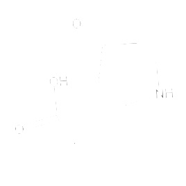 CC(C)(C)C(=O)O.O=C1CCNCC1